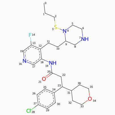 CCCSN1CCNCC1CCc1c(F)cncc1NC(=O)CC(c1ccc(Cl)cc1)C1CCOCC1